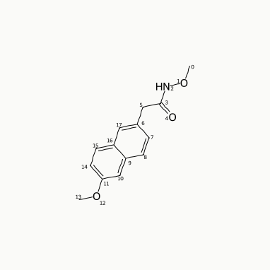 CONC(=O)Cc1ccc2cc(OC)ccc2c1